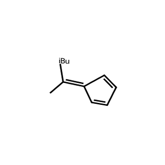 CCC(C)C(C)=C1C=CC=C1